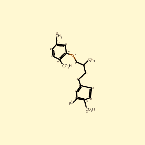 CCc1cc(CCC(C)CSc2cc(C)ccc2C(=O)O)ccc1C(=O)O